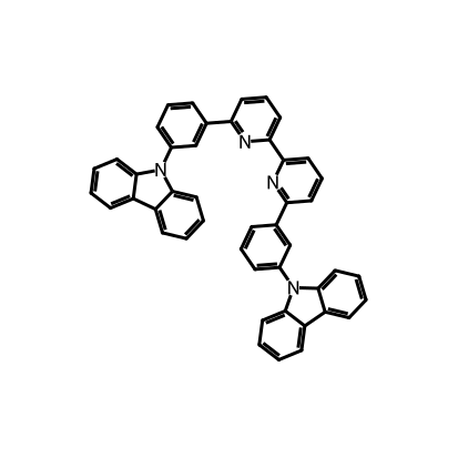 c1cc(-c2cccc(-c3cccc(-c4cccc(-n5c6ccccc6c6ccccc65)c4)n3)n2)cc(-n2c3ccccc3c3ccccc32)c1